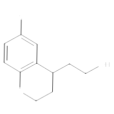 OCCC1CCOc2ccc(Cl)cc21